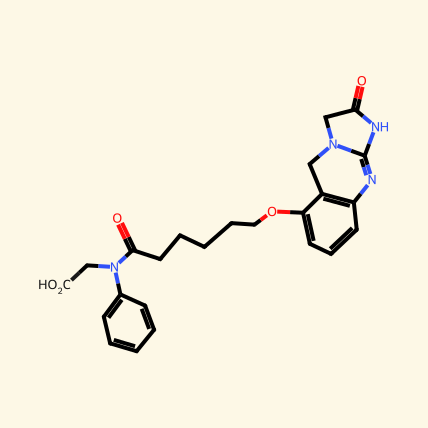 O=C(O)CN(C(=O)CCCCCOc1cccc2c1CN1CC(=O)NC1=N2)c1ccccc1